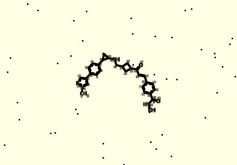 Cn1cc(-c2ccc(C3CC3NCC3CN(C(=O)C=Cc4ccc(C(=O)NO)cc4)C3)cc2)cn1